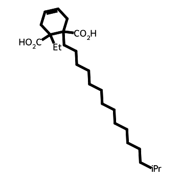 CCC1(C(=O)O)CC=CCC1(CCCCCCCCCCCCCC(C)C)C(=O)O